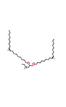 CCCCCCCC/C=C\CCCCCCCCOCC(CN(C)CC)OCCCCCCCC/C=C\CCCCCCCC